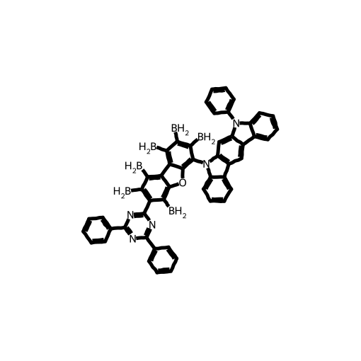 Bc1c(B)c(B)c2c(oc3c(B)c(-c4nc(-c5ccccc5)nc(-c5ccccc5)n4)c(B)c(B)c32)c1-n1c2ccccc2c2cc3c4ccccc4n(-c4ccccc4)c3cc21